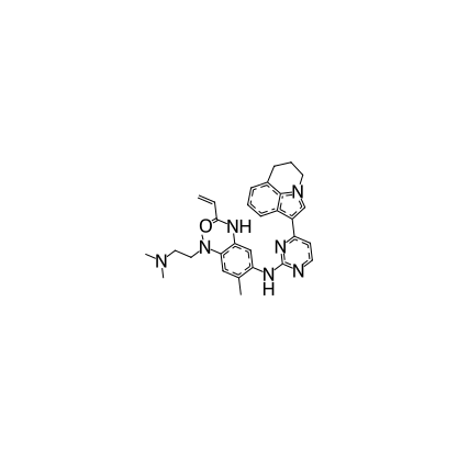 C=CC(=O)Nc1cc(Nc2nccc(-c3cn4c5c(cccc35)CCC4)n2)c(C)cc1N(C)CCN(C)C